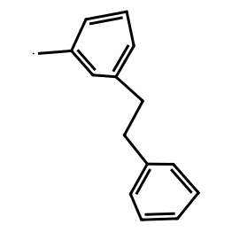 [CH2]c1cccc(CCc2ccccc2)c1